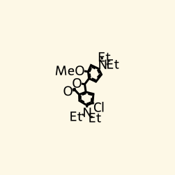 CCN(CC)c1ccc(C2OC(=O)c3cc(N(CC)CC)c(Cl)cc32)c(OC)c1